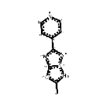 Cc1nn2nc(-c3ccncc3)nc2o1